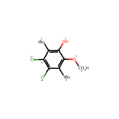 CC(C)(C)c1c(O)c(OC(=O)O)c(C(C)(C)C)c(Cl)c1Cl